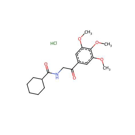 COc1cc(C(=O)CNC(=O)C2CCCCC2)cc(OC)c1OC.Cl